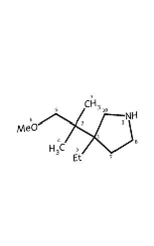 CCC1(C(C)(C)COC)CCNC1